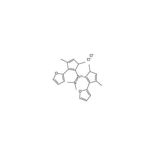 CC1=CC(C)[C]([Zr+2]([C]2=C(c3ccco3)C(C)=CC2C)=[Si](C)C)=C1c1ccco1.[Cl-].[Cl-]